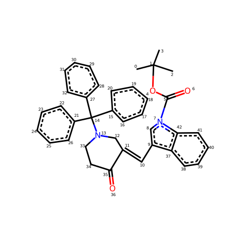 CC(C)(C)OC(=O)n1cc(C=C2CN(C(c3ccccc3)(c3ccccc3)c3ccccc3)CCC2=O)c2ccccc21